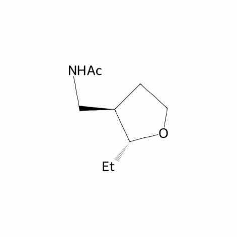 CC[C@H]1OCC[C@@H]1CNC(C)=O